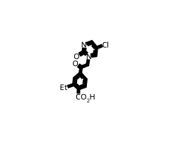 CCc1cc(C(=O)Cn2cc(Cl)cnc2=O)ccc1C(=O)O